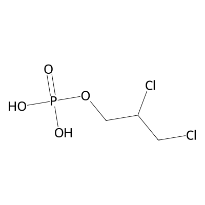 O=P(O)(O)OCC(Cl)CCl